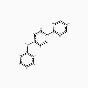 c1cnc(Sc2ccc(-c3ccncc3)nc2)nc1